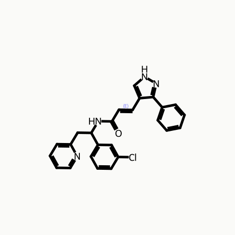 O=C(/C=C/c1c[nH]nc1-c1ccccc1)NC(Cc1ccccn1)c1cccc(Cl)c1